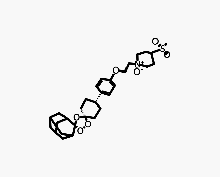 CS(=O)(=O)C1CC[N+]([O-])(CCOc2ccc([C@H]3CC[C@]4(CC3)OO[C@]3(O4)C4CC5CC(C4)CC3C5)cc2)CC1